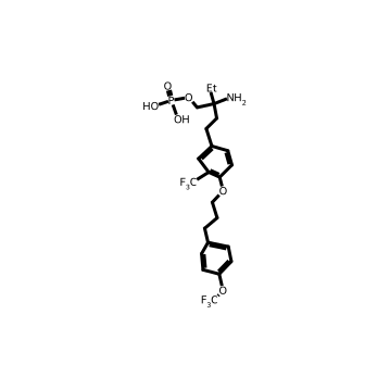 CCC(N)(CCc1ccc(OCCCc2ccc(OC(F)(F)F)cc2)c(C(F)(F)F)c1)COP(=O)(O)O